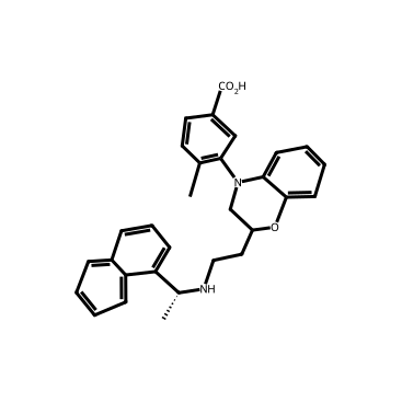 Cc1ccc(C(=O)O)cc1N1CC(CCN[C@H](C)c2cccc3ccccc23)Oc2ccccc21